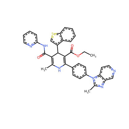 CCOC(=O)C1=C(c2ccc(-n3c(C)nc4cnccc43)cc2)NC(C)=C(C(=O)Nc2ccccn2)C1c1csc2ccccc12